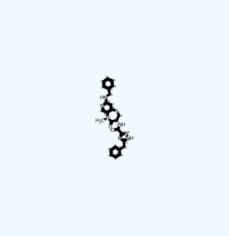 CN1C(=O)[C@@H](NC(=O)c2n[nH]c(Cc3ccccc3)n2)CSc2cc(NCc3ccccc3)ncc21